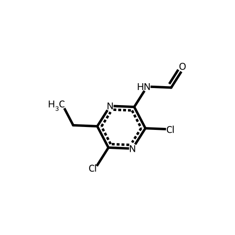 CCc1nc(NC=O)c(Cl)nc1Cl